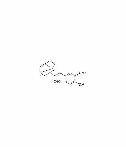 COc1ccc(OC(C=O)C23CC4CC(CC(C4)C2)C3)cc1OC